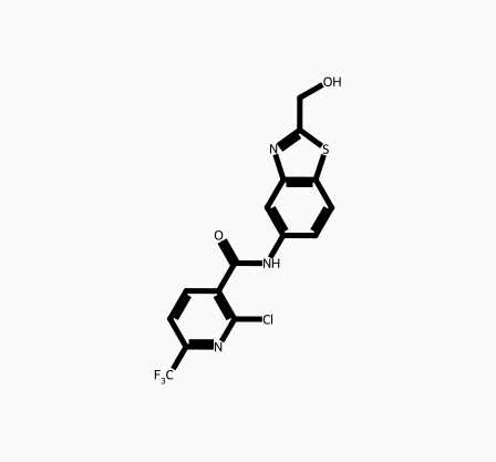 O=C(Nc1ccc2sc(CO)nc2c1)c1ccc(C(F)(F)F)nc1Cl